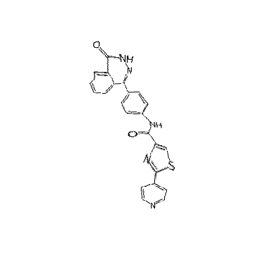 O=C(Nc1ccc(-c2n[nH]c(=O)c3ccccc23)cc1)c1csc(-c2ccncc2)n1